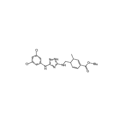 CC1C=C(C(=O)OC(C)(C)C)C=CC1CNc1nc(Nc2cc(Cl)cc(Cl)c2)n[nH]1